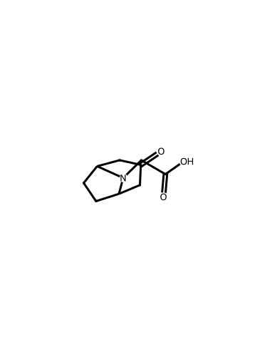 O=C(O)CN1C2CCC1CC(=O)C2